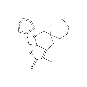 CC1=C2CC3(CCCCCC3)COC2(Cc2ccccc2)OC1=O